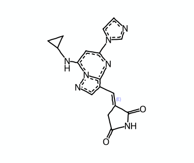 O=C1C/C(=C\c2cnn3c(NC4CC4)cc(-n4ccnc4)nc23)C(=O)N1